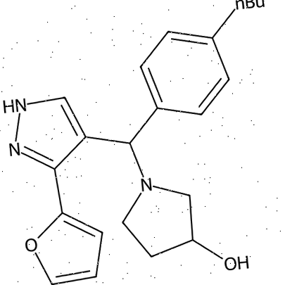 CCCCc1ccc(C(c2c[nH]nc2-c2ccco2)N2CCC(O)C2)cc1